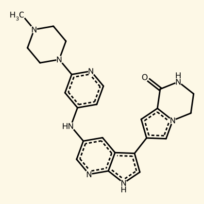 CN1CCN(c2cc(Nc3cnc4[nH]cc(-c5cc6n(c5)CCNC6=O)c4c3)ccn2)CC1